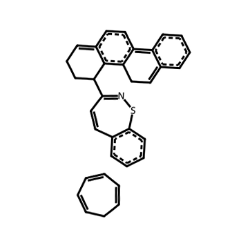 C1=CC=CCC=C1.C1=Cc2ccccc2SN=C1C1CCC=c2ccc3c(c21)CC=c1ccccc1=3